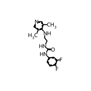 Cc1cncc(C)c1NCCNC(=O)Nc1ccc(F)c(F)c1